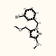 COCc1cc(OC)nn1Cc1cccc(Br)c1